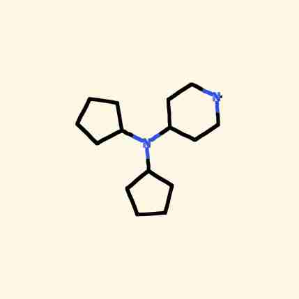 C1CCC(N(C2CCCC2)C2CC[N]CC2)C1